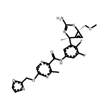 COC[C@]12C=C1[C@@](C)(c1cc(NC(=O)c3ncc(OCc4ncco4)nc3C)cc(F)c1F)N=C(N)S2